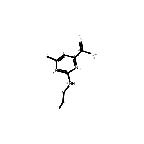 CCCNc1nc(C)cc(C(=O)O)n1